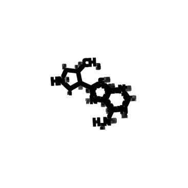 CC1CNCC1c1nc2c(N)ncnc2s1